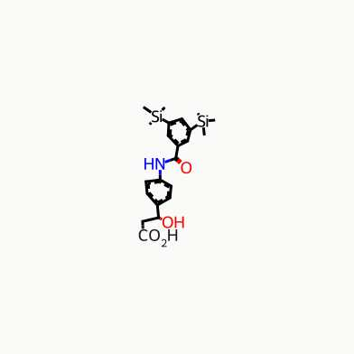 C[Si](C)(C)c1cc(C(=O)Nc2ccc(C(O)CC(=O)O)cc2)cc([Si](C)(C)C)c1